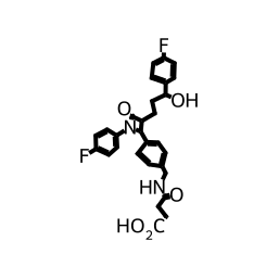 O=C(O)CCC(=O)NCc1ccc(C2C(CCC(O)c3ccc(F)cc3)C(=O)N2c2ccc(F)cc2)cc1